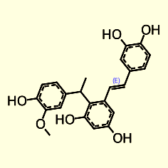 COc1cc(C(C)c2c(O)cc(O)cc2/C=C/c2ccc(O)c(O)c2)ccc1O